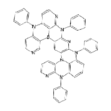 c1ccc(N2c3ccncc3B3c4cc5c(nc4N(c4ccccc4)c4nccc2c43)N(c2ccccc2)c2cccc3c2N5c2cccnc2N3c2ccccc2)cc1